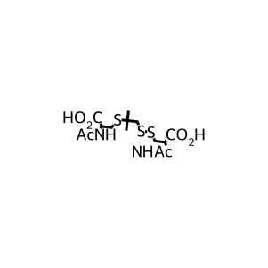 CC(=O)NC(CSSCC(C)(C)SCC(NC(C)=O)C(=O)O)C(=O)O